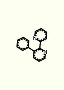 c1ccc(-c2cccnc2-c2ccccn2)cc1